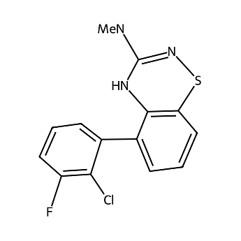 CNC1=NSc2cccc(-c3cccc(F)c3Cl)c2N1